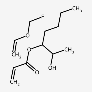 C=CC(=O)OC(CCCC)C(C)O.C=COCF